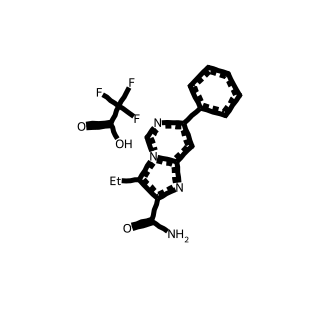 CCc1c(C(N)=O)nc2cc(-c3ccccc3)ncn12.O=C(O)C(F)(F)F